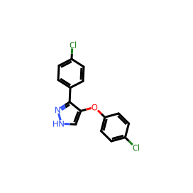 Clc1ccc(Oc2c[nH]nc2-c2ccc(Cl)cc2)cc1